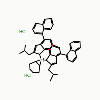 CC(C)CC1=Cc2c(-c3cccc4ccccc34)cccc2[CH]1[Hf]1([CH]2C(CC(C)C)=Cc3c(-c4cccc5ccccc45)cccc32)[CH]2CCCC[CH]21.Cl.Cl